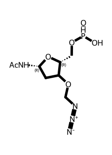 CC(=O)N[C@H]1CC(OCN=[N+]=[N-])[C@@H](CO[PH](=O)O)O1